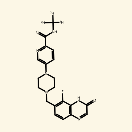 [2H]C([2H])([2H])NC(=O)c1ccc(N2CCN(Cc3ccc4ncc(=O)[nH]c4c3F)CC2)cn1